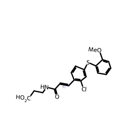 COc1ccccc1Sc1ccc(/C=C/C(=O)NCCC(=O)O)c(Cl)c1